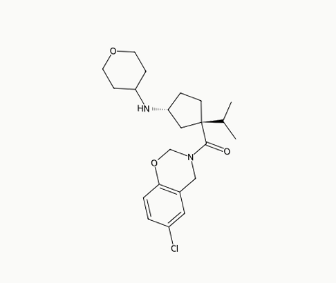 CC(C)[C@]1(C(=O)N2COc3ccc(Cl)cc3C2)CC[C@@H](NC2CCOCC2)C1